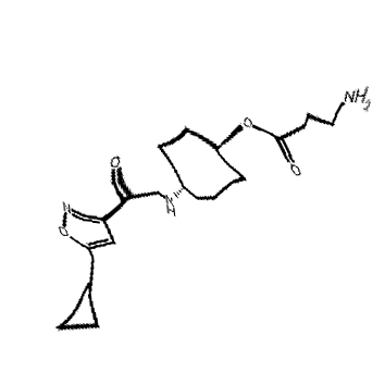 NCCC(=O)O[C@H]1CC[C@H](NC(=O)c2cc(C3CC3)on2)CC1